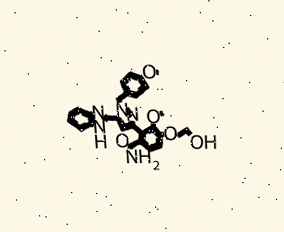 COc1ccc(Cn2nc(-c3c(C(N)=O)ccc(OCCO)c3OC)cc2-c2nc3ccccc3[nH]2)cc1